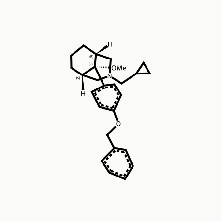 CO[C@@]1(c2ccc(OCc3ccccc3)cc2)[C@@H]2CCC[C@H]1CN(CC1CC1)C2